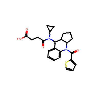 O=C(O)CCC(=O)N(C1CC1)C1c2ccccc2N(C(=O)c2cccs2)C2CCCC21